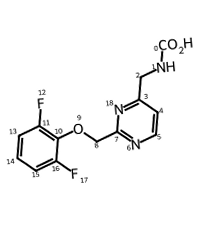 O=C(O)NCc1ccnc(COc2c(F)cccc2F)n1